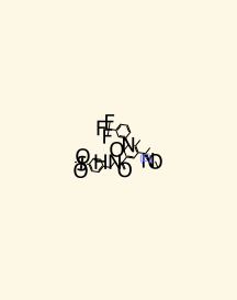 CO/N=C(\C)c1cc(C(=O)NCc2ccc(S(C)(=O)=O)cc2)c(=O)n(-c2cccc(C(F)(F)F)c2)c1C